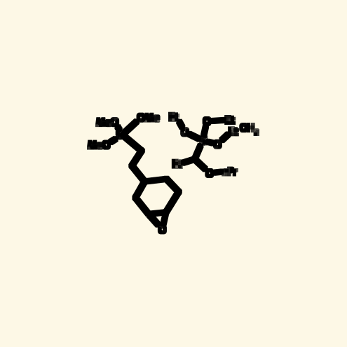 CCCOC(CC)[Si](OCC)(OCC)OCC.CO[Si](CCC1CCC2OC2C1)(OC)OC.O